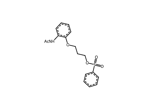 CC(=O)Nc1ccccc1OCCCOS(=O)(=O)c1ccccc1